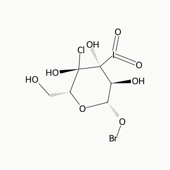 O=I(=O)[C@@]1(O)[C@@H](O)[C@H](OBr)O[C@H](CO)[C@]1(O)Cl